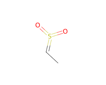 CC=S(=O)=O